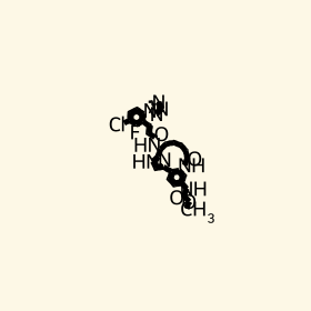 COC(=O)Nc1ccc2c(c1)NC(=O)CCCCC(NC(=O)C=Cc1c(-n3cnnn3)ccc(Cl)c1F)c1nc-2c[nH]1